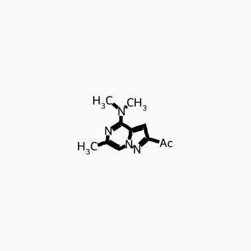 CC(=O)c1cc2c(N(C)C)nc(C)cn2n1